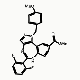 COC(=O)c1ccc2c(c1)-c1c(cnn1Cc1ccc(OC)cc1)N=C(c1c(F)cccc1F)N2